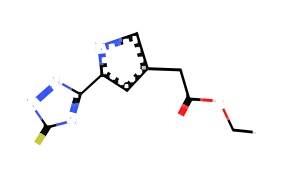 CCOC(=O)Cc1c[nH]c(C2=NC(=S)N=N2)c1